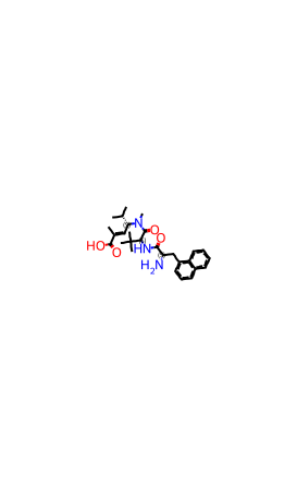 CC(=C[C@H](C(C)C)N(C)C(=O)[C@@H](NC(=O)[C@@H](N)Cc1cccc2ccccc12)C(C)(C)C)C(=O)O